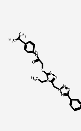 CCn1c(Cn2nnc(-c3ccccc3)n2)nnc1SCC(=O)Nc1ccc(C(C)C)cc1